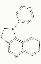 c1ccc(N2CCc3cnc4ccccc4c32)cc1